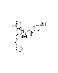 O=C(C[C@@H](CCCC1CCCCC1)c1nc(CN[C@H]2CC[C@H](O)CC2)no1)NO